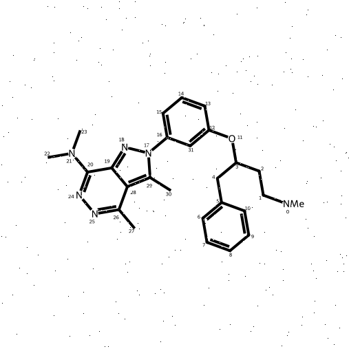 CNCCC(Cc1ccccc1)Oc1cccc(-n2nc3c(N(C)C)nnc(C)c3c2C)c1